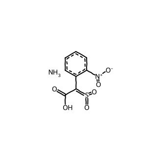 N.O=C(O)C(c1ccccc1[N+](=O)[O-])=S(=O)=O